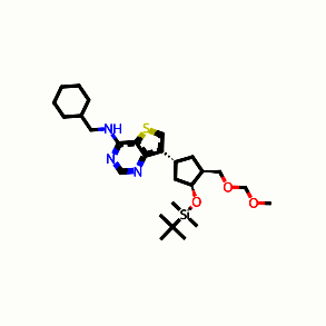 COCOC[C@@H]1C[C@@H](c2csc3c(NCC4CCCCC4)ncnc23)C[C@@H]1O[Si](C)(C)C(C)(C)C